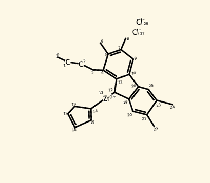 CCCCc1c(C)c(C)cc2c1[CH]([Zr+2][C]1=CC=CC1)c1cc(C)c(C)cc1-2.[Cl-].[Cl-]